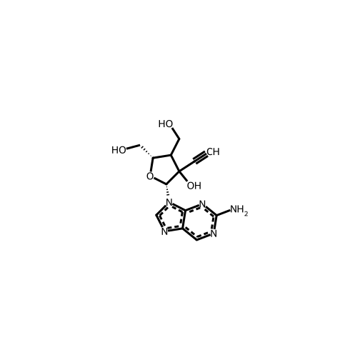 C#CC1(O)C(CO)[C@@H](CO)O[C@H]1n1cnc2cnc(N)nc21